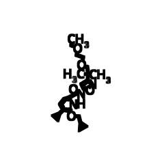 CCOCCOCC(C)(C)c1cc(NC(=O)c2ccc(C3CC3)c(OCC3CC3)n2)on1